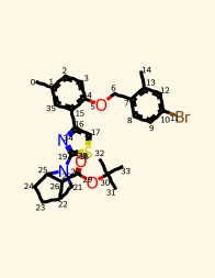 Cc1ccc(OCc2ccc(Br)cc2C)c(-c2csc(N3CC4CCC3C4C(=O)OC(C)(C)C)n2)c1